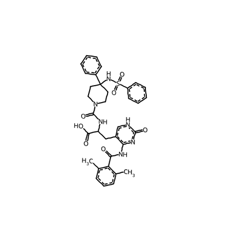 Cc1cccc(C)c1C(=O)Nc1nc(=O)[nH]cc1CC(NC(=O)N1CCC(NS(=O)(=O)c2ccccc2)(c2ccccc2)CC1)C(=O)O